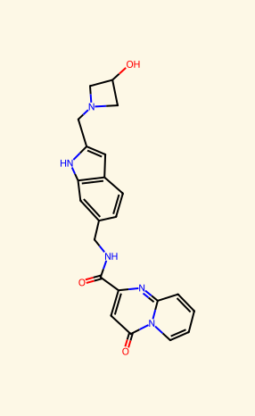 O=C(NCc1ccc2cc(CN3CC(O)C3)[nH]c2c1)c1cc(=O)n2ccccc2n1